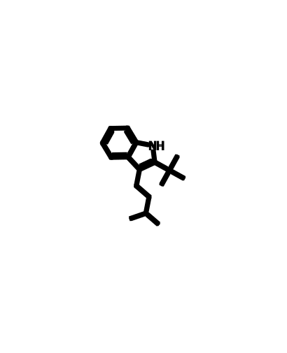 CC(C)CCc1c(C(C)(C)C)[nH]c2ccccc12